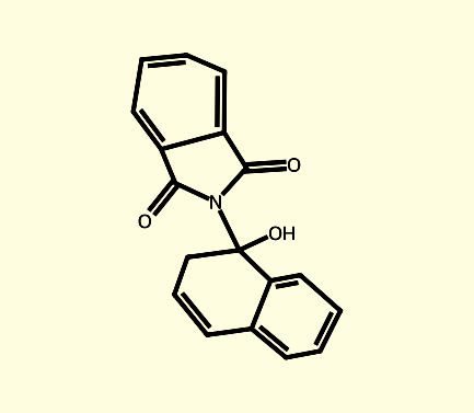 O=C1c2ccccc2C(=O)N1C1(O)CC=Cc2ccccc21